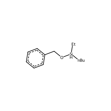 CCCC[SiH](CC)OCc1ccccc1